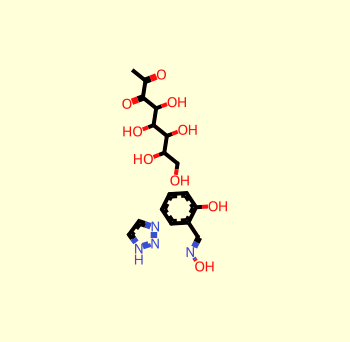 CC(=O)C(=O)C(O)C(O)C(O)C(O)CO.ON=Cc1ccccc1O.c1c[nH]nn1